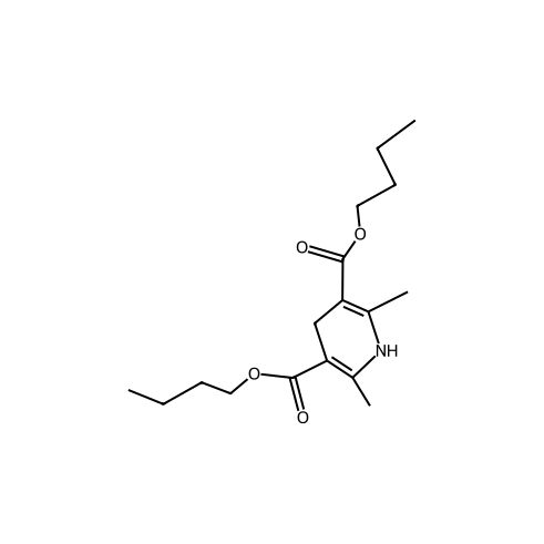 CCCCOC(=O)C1=C(C)NC(C)=C(C(=O)OCCCC)C1